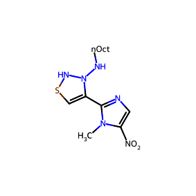 CCCCCCCCNN1NSC=C1c1ncc([N+](=O)[O-])n1C